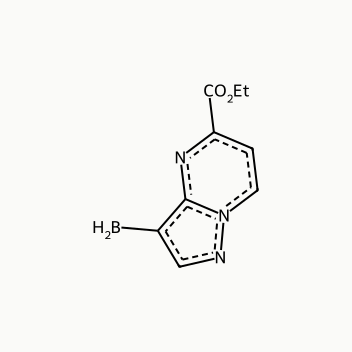 Bc1cnn2ccc(C(=O)OCC)nc12